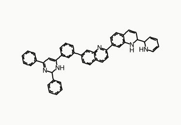 C1=CNC(C2C=Cc3ccc(-c4ccc5ccc(-c6cccc(C7=CC(c8ccccc8)=NC(c8ccccc8)N7)c6)cc5n4)cc3N2)C=C1